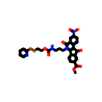 COC(=O)c1ccc2c(c1)C(=O)c1c-2n(CCCNC(=O)OCCSSc2ccccn2)c(=O)c2cc([N+](=O)[O-])ccc12